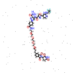 NC(=O)c1nn(-c2ccc(C(=O)NCCOCCOCCOCCOCCCc3ccc4c(c3)C(=O)N(C3CCC(=O)NC3=O)C4=O)cc2)cc1NC(=O)c1coc(-c2ccnc(NCC(F)(F)F)c2)n1